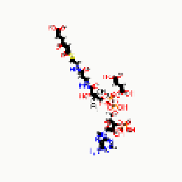 CC(C)(COP(=O)(O)OP(=O)(O)OC[C@H]1O[C@@H](n2cnc3c(N)ncnc32)[C@H](O)[C@@H]1OP(=O)(O)O)[C@@H](O)C(=O)NCCC(=O)NCCSC(=O)CC(=O)CCC(=O)O.O=C(O)CCC(=O)O